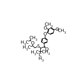 COc1ccc(Oc2ccc(C(=O)C(SCC(C)OC(C)C)C(C)(C)C)cc2)c(OC)c1